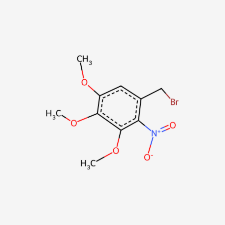 COc1cc(CBr)c([N+](=O)[O-])c(OC)c1OC